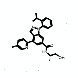 Cc1ccc(-c2cc(C(=O)N[C@@H](C)CO)cc3c2cnn3-c2ccccc2C(C)C)nc1